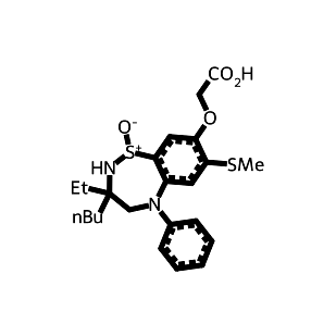 CCCCC1(CC)CN(c2ccccc2)c2cc(SC)c(OCC(=O)O)cc2[S+]([O-])N1